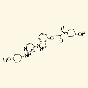 O=C(COc1cccc2c1cnn2-c1ccnc(NC2CCC(O)CC2)n1)NC1CCC(O)CC1